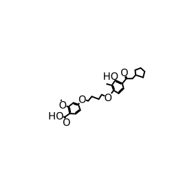 COc1cc(OCCCCOc2ccc(C(=O)CC3CCCC3)c(O)c2C)ccc1C(=O)O